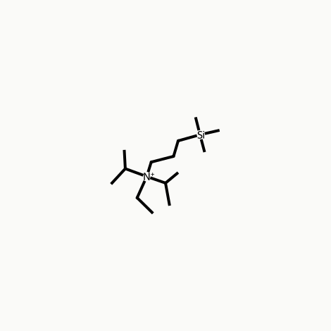 CC[N+](CCC[Si](C)(C)C)(C(C)C)C(C)C